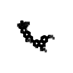 CCC(Oc1ccc(CCc2cnc3c(N)nc4cc(C)ccc4c3c2)c(C)c1)C(F)(F)P(=O)(O)O